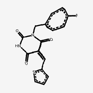 O=C1NC(=O)N(Cc2ccc(F)cc2)C(=O)/C1=C/c1cccs1